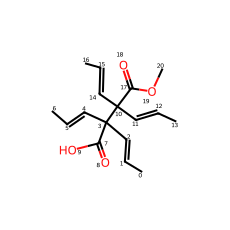 CC=CC(C=CC)(C(=O)O)C(C=CC)(C=CC)C(=O)OC